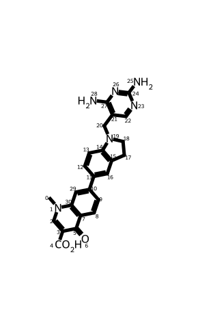 Cn1cc(C(=O)O)c(=O)c2ccc(-c3ccc4c(c3)CCN4Cc3cnc(N)nc3N)cc21